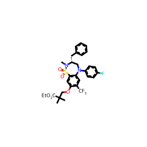 CCOC(=O)C(C)(C)COc1cc2c(cc1C(F)(F)F)N(c1ccc(F)cc1)C[C@@H](Cc1ccccc1)N(C)S2(=O)=O